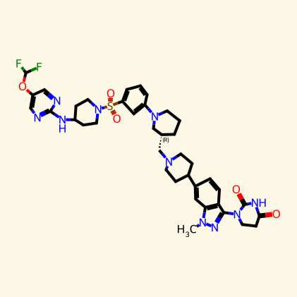 Cn1nc(N2CCC(=O)NC2=O)c2ccc(C3CCN(C[C@H]4CCCN(c5cccc(S(=O)(=O)N6CCC(Nc7ncc(OC(F)F)cn7)CC6)c5)C4)CC3)cc21